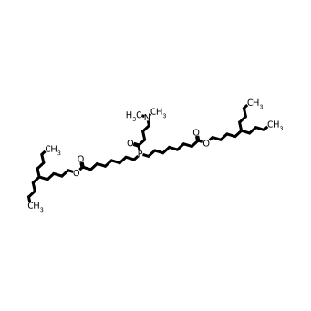 CCCCC(CCCC)CCCCOC(=O)CCCCCCCP(CCCCCCCC(=O)OCCCCC(CCCC)CCCC)C(=O)CCCN(C)C